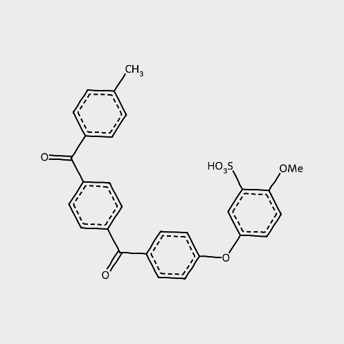 COc1ccc(Oc2ccc(C(=O)c3ccc(C(=O)c4ccc(C)cc4)cc3)cc2)cc1S(=O)(=O)O